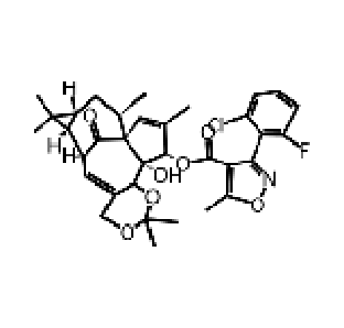 CC1=C[C@]23C(=O)[C@@H](C=C4COC(C)(C)OC4[C@]2(O)[C@H]1OC(=O)c1c(-c2c(F)cccc2Cl)noc1C)[C@H]1[C@@H](C[C@H]3C)C1(C)C